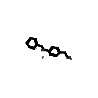 NCc1ccc(NCC2=CC=CC=[N+]2)cc1.[I-]